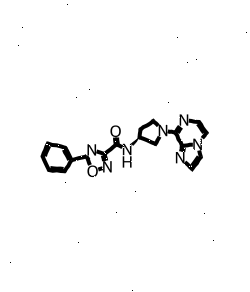 O=C(N[C@H]1CCN(c2nccn3ccnc23)C1)c1noc(-c2ccccc2)n1